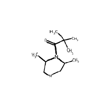 CC1C[N]CC(C)N1C(=O)C(C)(C)C